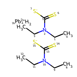 CCN(CC)C(=S)[S-].CCN(CC)C(=S)[S-].[PbH2+2]